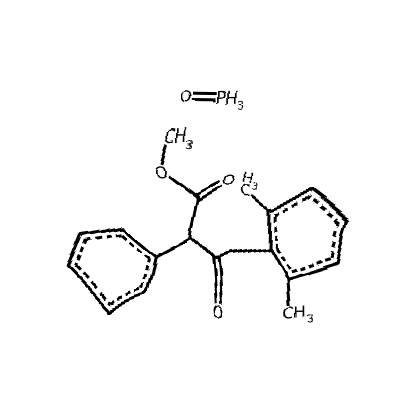 COC(=O)C(C(=O)c1c(C)cccc1C)c1ccccc1.O=[PH3]